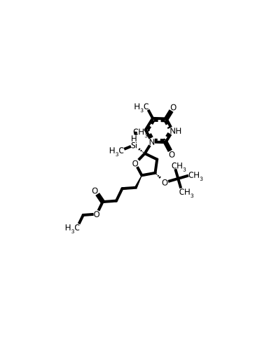 CCOC(=O)CCC[C@H]1O[C@](n2cc(C)c(=O)[nH]c2=O)([SiH](C)C)C[C@@H]1OC(C)(C)C